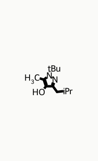 Cc1c(O)c(CC(C)C)nn1C(C)(C)C